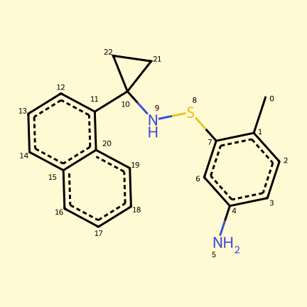 Cc1ccc(N)cc1SNC1(c2cccc3ccccc23)CC1